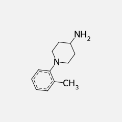 Cc1ccccc1N1CCC(N)CC1